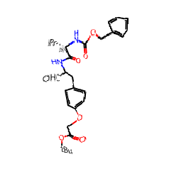 CC(C)[C@H](NC(=O)OCc1ccccc1)C(=O)NC(C=O)Cc1ccc(OCC(=O)OC(C)(C)C)cc1